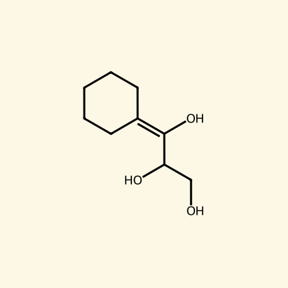 OCC(O)C(O)=C1CCCCC1